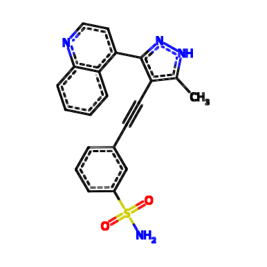 Cc1[nH]nc(-c2ccnc3ccccc23)c1C#Cc1cccc(S(N)(=O)=O)c1